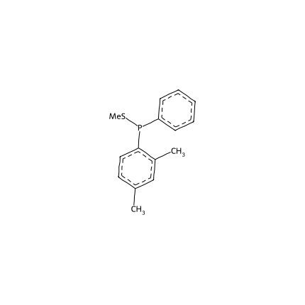 CSP(c1ccccc1)c1ccc(C)cc1C